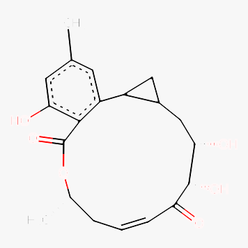 Cc1cc(O)c2c(c1)C1CC1C[C@H](O)[C@H](O)C(=O)/C=C\C[C@H](C)OC2=O